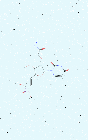 CNC(=O)COC1C(OC)C(/C=C/P(=O)(OC)OC)OC1n1cc(C)c(=O)[nH]c1=O